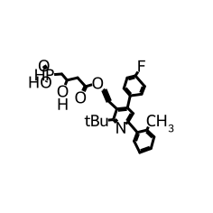 Cc1ccccc1-c1cc(-c2ccc(F)cc2)c(C#COC(=O)CC(O)C[PH](=O)O)c(C(C)(C)C)n1